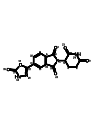 O=C1CCC(N2C(=O)c3ccc(-c4n[nH]c(=O)o4)cc3C2=O)C(=O)N1